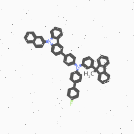 CC1(c2cccc(N(c3ccc(-c4ccc(F)cc4)cc3)c3ccc(-c4ccc5c(c4)c4ccccc4n5-c4ccc5ccccc5c4)cc3)c2)c2ccccc2-c2ccccc21